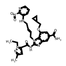 CCn1nc(C)cc1C(=O)Nc1nc2cc(C(N)=O)cc(OCC3CC3)c2n1CC=CCNc1cccnc1[N+](=O)[O-]